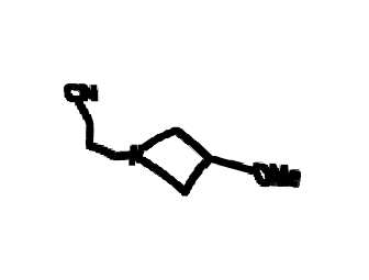 COC1CN(CC#N)C1